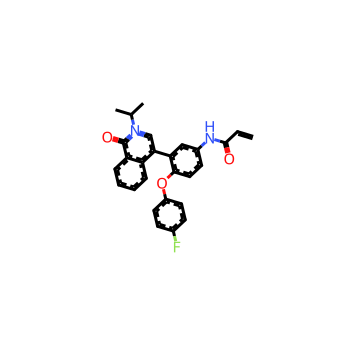 C=CC(=O)Nc1ccc(Oc2ccc(F)cc2)c(-c2cn(C(C)C)c(=O)c3ccccc23)c1